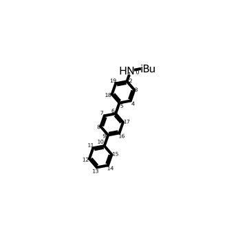 CCC(C)Nc1ccc(-c2ccc(-c3ccccc3)cc2)cc1